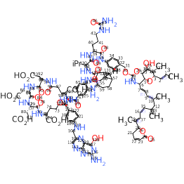 C/C=C/C1OC(C(/C=C/C=C(\C)C[C@@H](C)/C=C\C=C(/C)C2CC=CC(=O)O2)NC(=O)OCc2ccc(NC(=O)[C@H](CCCNC(N)=O)NC(=O)[C@@H](NC(=O)OC[C@@]34C5CC/C(N)=C(/Nc6ccc(C(=O)NCCCC[C@H](NC(=O)[C@H](CC(=O)O)NC(=O)[C@H](CC(=O)O)NC(=O)[C@@H](CC(=O)O)NC(=O)CC[C@H](NC(=O)c7ccc(NCc8cnc9nc(N)nc(O)c9n8)cc7)C(=O)O)C(=O)O)cc6)CC3[C@@H]54)C(C)C)cc2)C[C@@H](O)[C@@H]1C